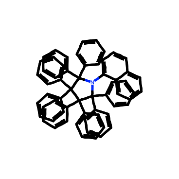 c1ccc(C2(c3ccccc3)N(c3cccc4ccccc34)C(c3ccccc3)(c3ccccc3)C(c3ccccc3)(c3ccccc3)C2(c2ccccc2)c2ccccc2)cc1